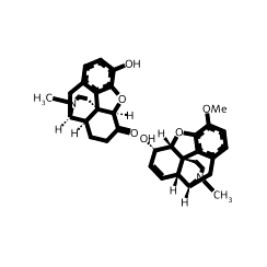 CN1CC[C@]23c4c5ccc(O)c4O[C@H]2C(=O)CC[C@H]3[C@H]1C5.COc1ccc2c3c1O[C@H]1[C@@H](O)C=C[C@H]4[C@@H](C2)N(C)CC[C@@]341